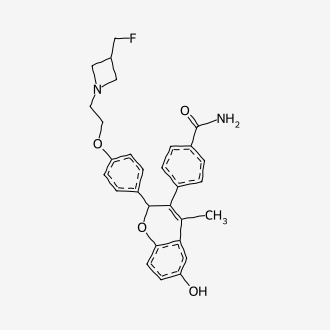 CC1=C(c2ccc(C(N)=O)cc2)C(c2ccc(OCCN3CC(CF)C3)cc2)Oc2ccc(O)cc21